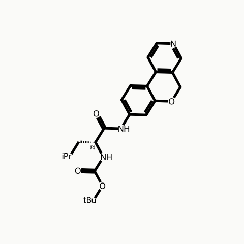 CC(C)C[C@@H](NC(=O)OC(C)(C)C)C(=O)Nc1ccc2c(c1)OCc1cnccc1-2